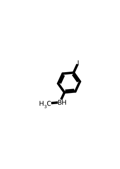 CBc1ccc(I)cc1